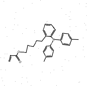 C=CC(=O)OCCCCCc1ccccc1N(c1ccc(C)cc1)c1ccc(C)cc1